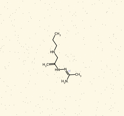 C=C(CNCCC)N/N=C(/C)N